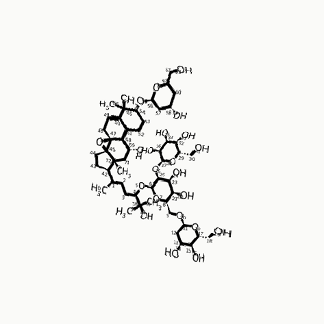 C[C@H](CCC(O[C@@H]1O[C@H](CO[C@@H]2C[C@H](O)[C@H](O)[C@@H](CO)O2)[C@H](O)[C@H](O)[C@@H]1O[C@@H]1O[C@@H](CO)[C@H](O)[C@H](O)[C@@H]1O)C(C)(C)O)[C@H]1CC[C@@]23O[C@@]24CC=C2C(CC[C@@H](O[C@@H]5C[C@@H](O)CC(CO)O5)C2(C)C)C4[C@H](O)C[C@]13C